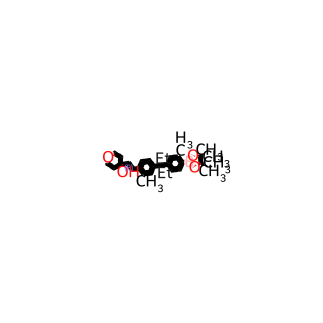 CCC(CC)(c1ccc(/C=C/C2(O)CCOCC2)c(C)c1)c1ccc(B2OC(C)(C)C(C)(C)O2)c(C)c1